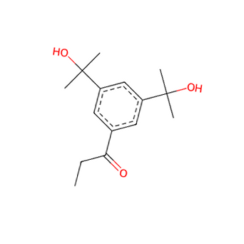 CCC(=O)c1cc(C(C)(C)O)cc(C(C)(C)O)c1